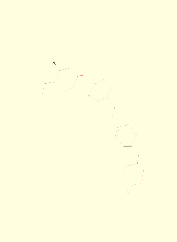 CC(C)(C)[C@H]1C[C@@H](Oc2ccc(COc3ccc(CC4COS(=O)OC4)cc3)cc2)CCN1C(=O)O